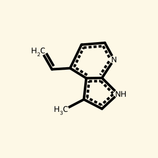 C=Cc1ccnc2[nH]cc(C)c12